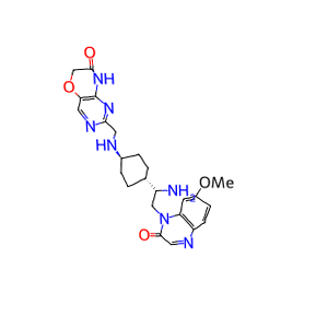 COc1ccc2ncc(=O)n(CC(N)[C@H]3CC[C@H](NCc4ncc5c(n4)NC(=O)CO5)CC3)c2c1